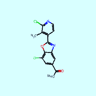 COC(=O)c1cc(Cl)c2oc(-c3ccnc(Cl)c3C)nc2c1